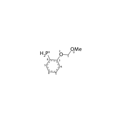 COCOc1ccccc1P